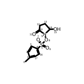 Cc1ccc(S(=O)(=O)ON2C(=O)CCC2O)cc1